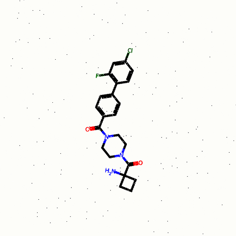 NC1(C(=O)N2CCN(C(=O)c3ccc(-c4ccc(Cl)cc4F)cc3)CC2)CCC1